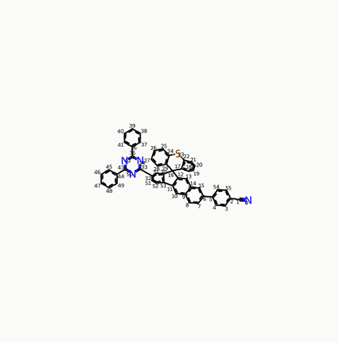 N#Cc1ccc(-c2ccc3cc4c(cc3c2)C2(c3ccccc3Sc3ccccc32)c2cc(-c3nc(-c5ccccc5)nc(-c5ccccc5)n3)ccc2-4)cc1